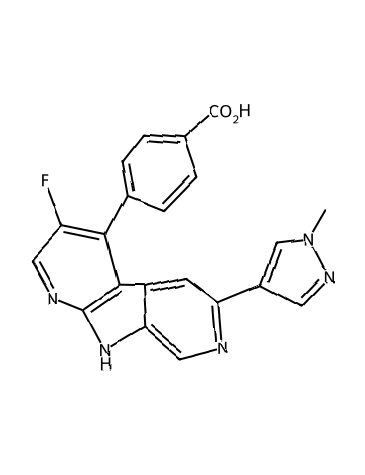 Cn1cc(-c2cc3c(cn2)[nH]c2ncc(F)c(-c4ccc(C(=O)O)cc4)c23)cn1